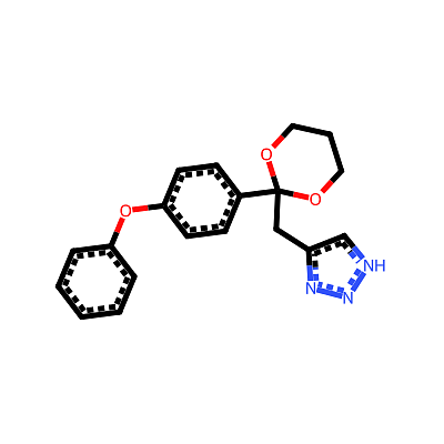 c1ccc(Oc2ccc(C3(Cc4c[nH]nn4)OCCCO3)cc2)cc1